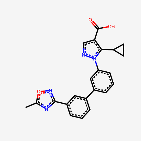 Cc1nc(-c2cccc(-c3cccc(-n4ncc(C(=O)O)c4C4CC4)c3)c2)no1